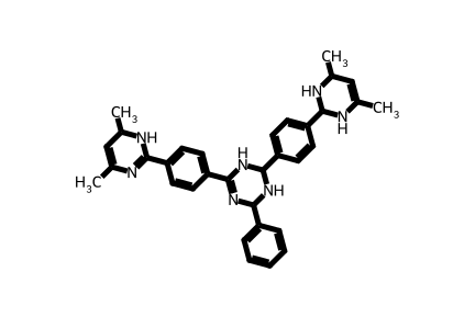 CC1=CC(C)NC(c2ccc(C3=NC(c4ccccc4)NC(c4ccc(C5NC(C)=CC(C)N5)cc4)N3)cc2)=N1